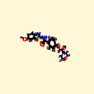 COc1ccc2nc(NC(=O)c3ccc(OCC(=O)N4CCOCC4)cc3)sc2c1